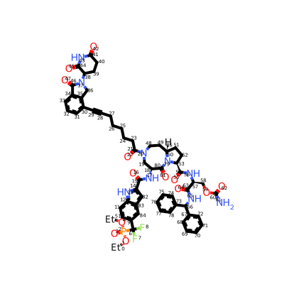 CCOP(=O)(OCC)C(F)(F)c1ccc2[nH]c(C(=O)N[C@H]3CN(C(=O)CCCCCC#Cc4cccc5c4CN(C4CCC(=O)NC4=O)C5=O)CC[C@H]4CC[C@@H](C(=O)N[C@@H](COC(N)=O)C(=O)NC(c5ccccc5)c5ccccc5)N4C3=O)cc2c1